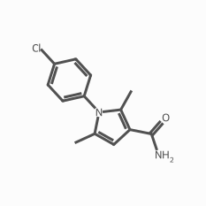 Cc1cc(C(N)=O)c(C)n1-c1ccc(Cl)cc1